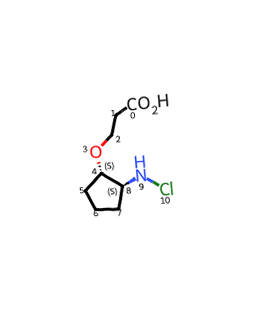 O=C(O)CCO[C@H]1CCC[C@@H]1NCl